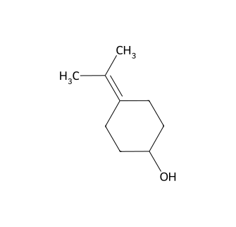 CC(C)=C1CCC(O)CC1